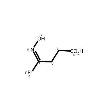 CCCC(CCC(=O)O)=NO